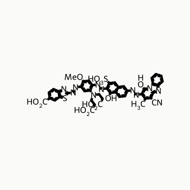 COc1cc(N=Nc2c(S(=O)(=O)O)cc3cc(N=Nc4c(C)c(C#N)c5nc6ccccc6n5c4O)ccc3c2O)c(N(CCC(=O)O)CCC(=O)O)cc1N=Nc1nc2ccc(C(=O)O)cc2s1